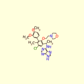 COc1ccc(-c2c(C)c(Cl)cc(C(C)Nc3ncnc4[nH]cnc34)c2OCCN2CCOCC2)cc1OC